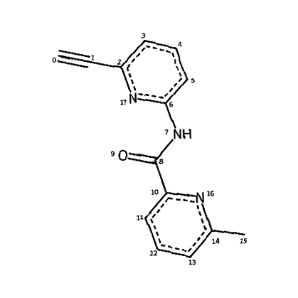 C#Cc1cccc(NC(=O)c2cccc(C)n2)n1